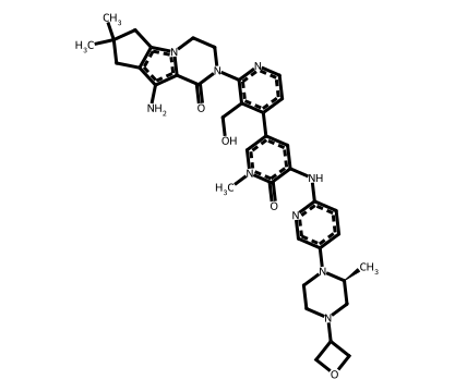 C[C@H]1CN(C2COC2)CCN1c1ccc(Nc2cc(-c3ccnc(N4CCn5c6c(c(N)c5C4=O)CC(C)(C)C6)c3CO)cn(C)c2=O)nc1